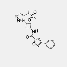 CC(c1cnnn1[C@H]1C[C@H](NC(=O)c2cc(-c3ccccc3)no2)C1)S(C)(=O)=O